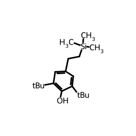 CC(C)(C)c1cc(CC[Si](C)(C)C)cc(C(C)(C)C)c1O